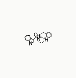 Cn1cc(C(=O)N2CCC[C@H]3c4ccccc4CC[C@H]32)c2ccccc21